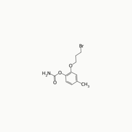 Cc1ccc(OC(N)=O)c(OCCCBr)c1